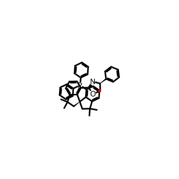 CC1(C)C[C@@]2(CC(C)(C)c3cccc(P(c4ccccc4)c4ccccc4)c32)c2c(C3=N[C@@H](c4ccccc4)CO3)cccc21